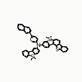 C[Si]1(C)c2ccccc2-c2cc(N(c3ccc(-c4ccc5ccccc5c4)cc3)c3ccc4c(c3)[Si](C)(C)c3ccc5c(sc6ccccc65)c3-4)ccc21